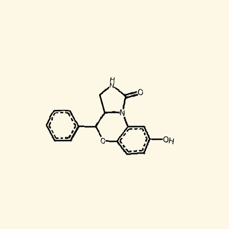 O=C1NCC2C(c3ccccc3)Oc3ccc(O)cc3N12